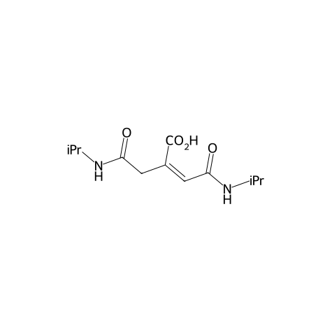 CC(C)NC(=O)/C=C(/CC(=O)NC(C)C)C(=O)O